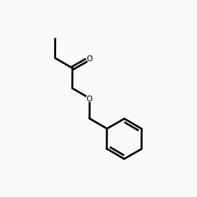 CCC(=O)COCC1C=CCC=C1